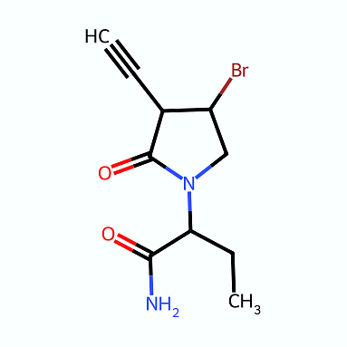 C#CC1C(=O)N(C(CC)C(N)=O)CC1Br